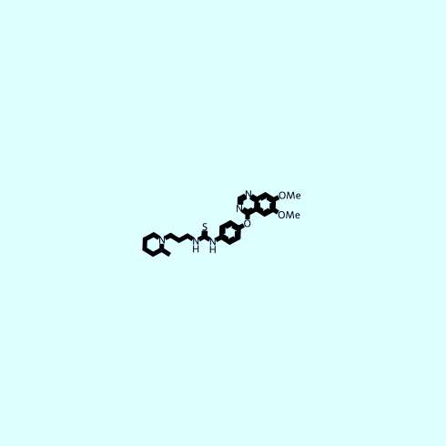 COc1cc2ncnc(Oc3ccc(NC(=S)NCCCN4CCCCC4C)cc3)c2cc1OC